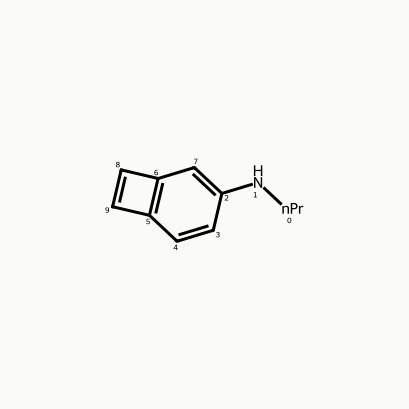 CCCNc1ccc2c(c1)C=C2